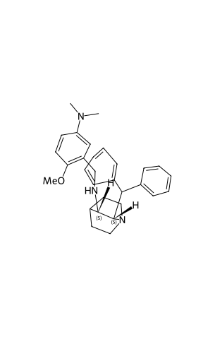 COc1ccc(N(C)C)cc1CN[C@H]1C2CCN(CC2)[C@H]1C(c1ccccc1)c1ccccc1